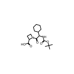 CC(C)(C)OC(=O)NC(C(=O)N1CCC1C(=O)O)C1CCCCC1